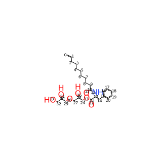 C=CCCCCCCCCC(=O)NC(Cc1ccccc1)C(=O)OCC(O)COCC(O)CO